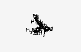 CC1(C(N)=O)CCC(n2c(Nc3c(F)cc(Cl)cc3Cl)nc3cnc(NC4CC(F)(F)C4)nc32)CC1